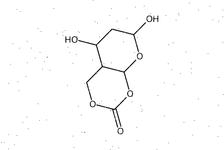 O=C1OCC2C(O)CC(O)OC2O1